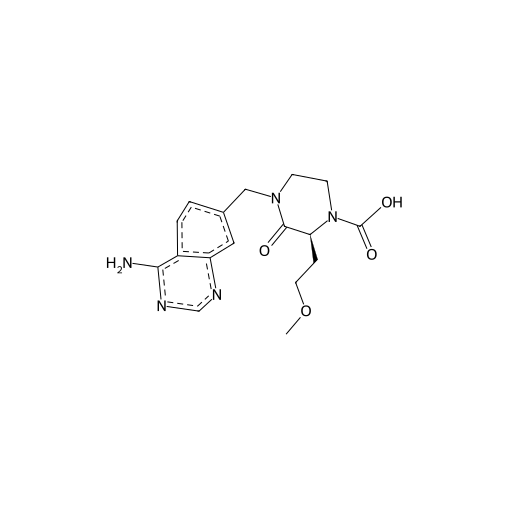 COCC[C@H]1C(=O)N(Cc2ccc3c(N)ncnc3c2)CCN1C(=O)O